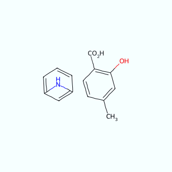 Cc1ccc(C(=O)O)c(O)c1.c1cc2cc(c1)N2